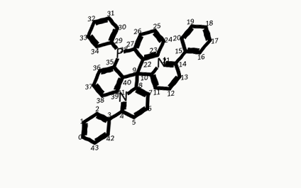 c1ccc(-c2cccc(C3(c4cccc(-c5ccccc5)n4)c4ccccc4P(c4ccccc4)c4ccccc43)n2)cc1